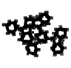 c1ccc(-c2nc(-n3c4ccccc4c4ccccc43)cc(-n3c4ccccc4c4ccc5c(c6ccccc6n5-c5ccccc5)c43)n2)cc1